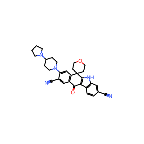 N#Cc1ccc2c3c([nH]c2c1)C1(CCOCC1)c1cc(N2CCC(N4CCCC4)CC2)c(C#N)cc1C3=O